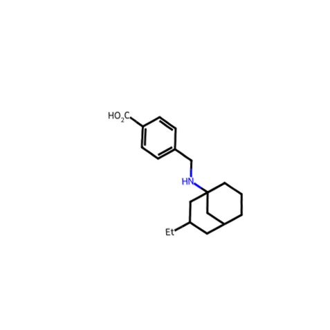 CCC1CC2CCCC(NCc3ccc(C(=O)O)cc3)(C1)C2